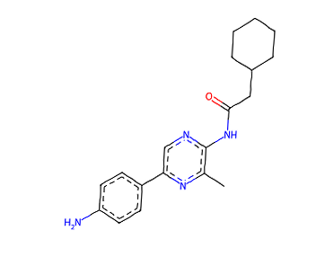 Cc1nc(-c2ccc(N)cc2)cnc1NC(=O)CC1CCCCC1